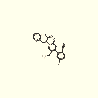 COc1cn(C(Cc2ccccn2)C(=O)O)c(=O)cc1-c1cc(Cl)ccc1C#N